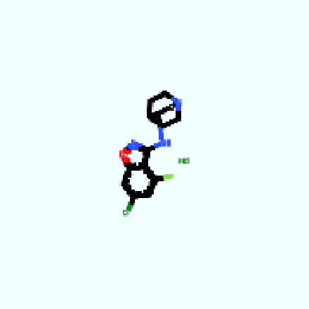 Cl.Fc1cc(Cl)cc2onc(NC3CN4CCC3CC4)c12